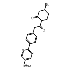 CCCCCCc1cnc(-c2ccc(CC(=O)C3CCC(CC)CC3=O)cc2)nc1